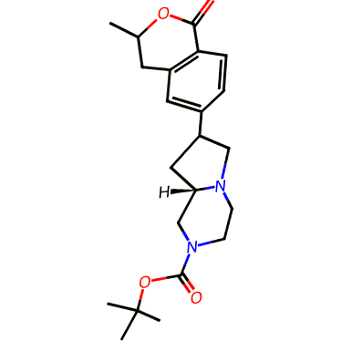 CC1Cc2cc(C3C[C@H]4CN(C(=O)OC(C)(C)C)CCN4C3)ccc2C(=O)O1